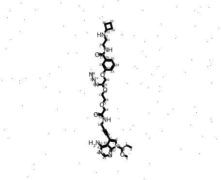 CC[C@@H](OC)n1cc(C#CCNC(=O)COCCOC(COc2cccc(C(=O)NCCNC3CCC3)c2)N=[N+]=[N-])c2c(N)ncnc21